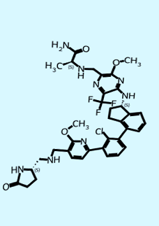 COc1nc(-c2cccc(-c3cccc4c3CC[C@@H]4Nc3nc(OC)c(CN[C@@H](C)C(N)=O)nc3C(F)(F)F)c2Cl)ccc1CNC[C@@H]1CCC(=O)N1